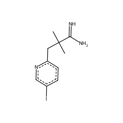 CC(C)(Cc1ccc(I)cn1)C(=N)N